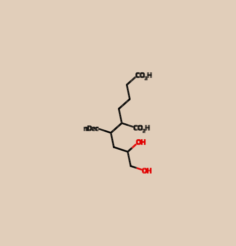 CCCCCCCCCCC(CC(O)CO)C(CCCC(=O)O)C(=O)O